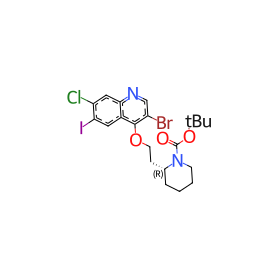 CC(C)(C)OC(=O)N1CCCC[C@@H]1CCOc1c(Br)cnc2cc(Cl)c(I)cc12